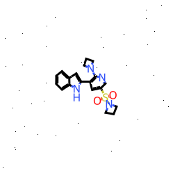 O=S(=O)(c1cnc(N2CCC2)c(-c2cc3ccccc3[nH]2)c1)N1CCC1